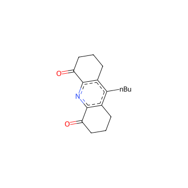 CCCCc1c2c(nc3c1CCCC3=O)C(=O)CCC2